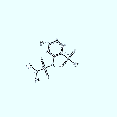 CN(C)S(=O)(=O)Oc1ccccc1S([NH-])(=O)=O.[Na+]